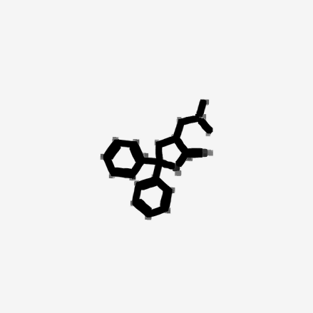 CN(C)CC1CC(c2ccccc2)(c2ccccc2)OC1=O